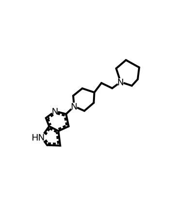 c1cc2cc(N3CCC(CCN4CCCCC4)CC3)ncc2[nH]1